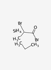 CC(Br)C(=O)Br.CCC.[SiH4]